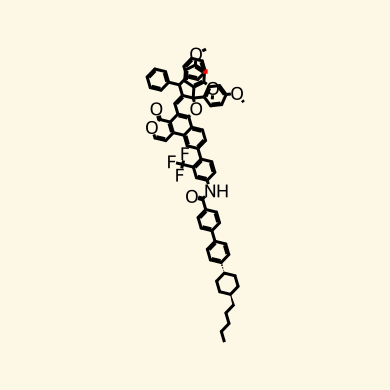 CCCCC[C@H]1CC[C@H](c2ccc(-c3ccc(C(=O)Nc4ccc(-c5ccc6c7c(c8c(=O)occc8c6c5)C=C(C(c5ccccc5)c5ccccc5)C(c5ccc(OC)cc5)(c5ccc(OC)cc5OC)O7)c(C(F)(F)F)c4)cc3)cc2)CC1